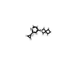 c1cc(N2CC3(CCC3)C2)cc(C2CC2)n1